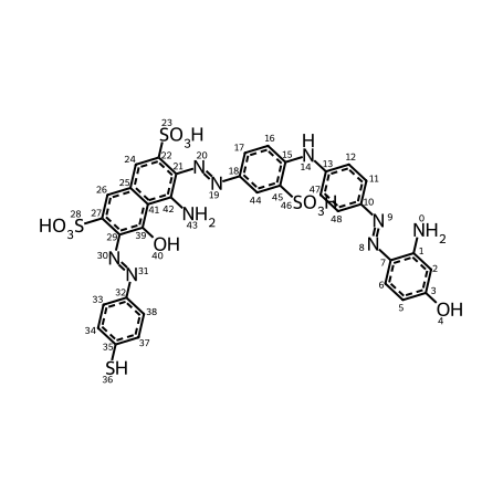 Nc1cc(O)ccc1N=Nc1ccc(Nc2ccc(N=Nc3c(S(=O)(=O)O)cc4cc(S(=O)(=O)O)c(N=Nc5ccc(S)cc5)c(O)c4c3N)cc2S(=O)(=O)O)cc1